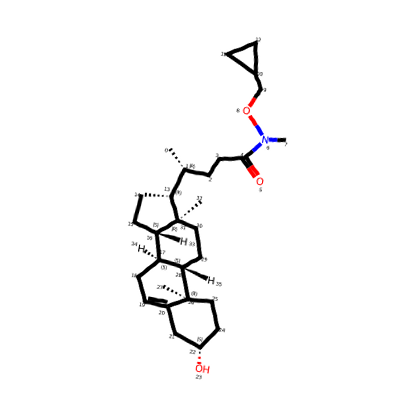 C[C@H](CCC(=O)N(C)OCC1CC1)[C@H]1CC[C@H]2[C@@H]3CC=C4C[C@@H](O)CC[C@]4(C)[C@H]3CC[C@]12C